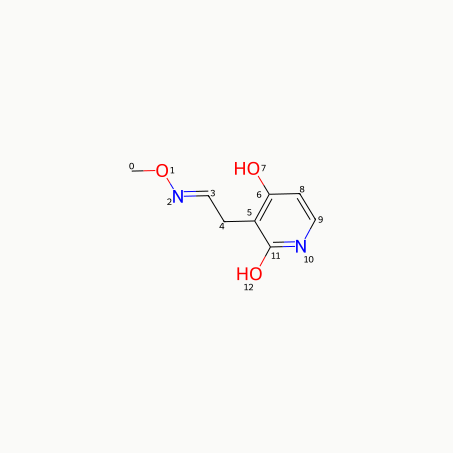 CON=CCc1c(O)ccnc1O